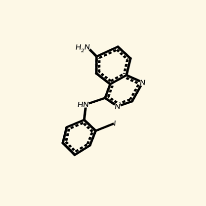 Nc1ccc2ncnc(Nc3ccccc3I)c2c1